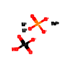 O=P([O-])([O-])[O-].[Fe+2].[Li+].[Li+].[O]=[Mn](=[O])([O-])[OH]